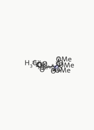 COC(=O)C/C(C(=O)OC)=C(\CCCCS(=O)(=O)c1ccc(C)cc1)C(=O)OC